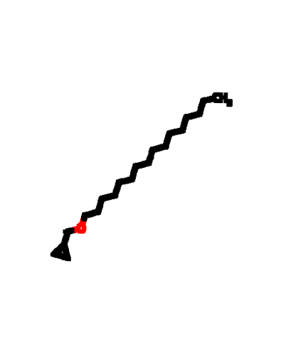 CCCCCCCCCCCCCCCCO[CH]C1CC1